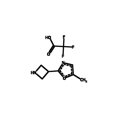 Cc1cnc(C2CNC2)o1.O=C(O)C(F)(F)F